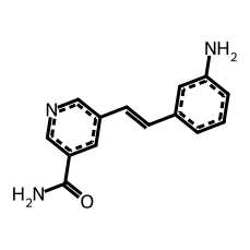 NC(=O)c1cncc(C=Cc2cccc(N)c2)c1